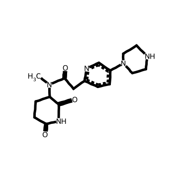 CN(C(=O)Cc1ccc(N2CCNCC2)cn1)C1CCC(=O)NC1=O